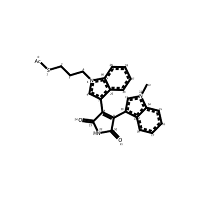 CC(=O)SCCCn1cc(C2=C(c3cn(C)c4ccccc34)C(=O)NC2=O)c2ccccc21